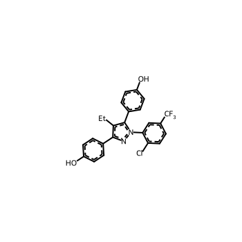 CCc1c(-c2ccc(O)cc2)nn(-c2cc(C(F)(F)F)ccc2Cl)c1-c1ccc(O)cc1